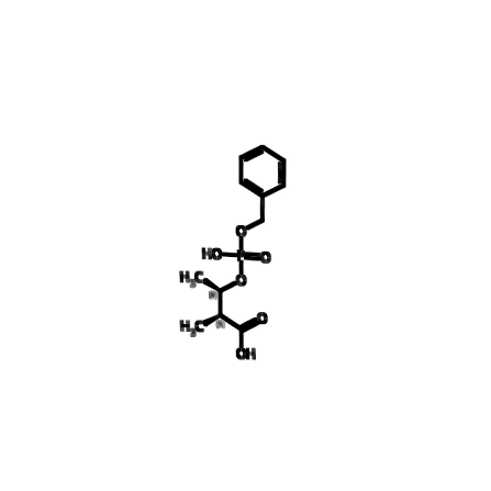 C[C@H](C(=O)O)[C@@H](C)OP(=O)(O)OCc1ccccc1